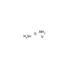 [AlH3].[SnH2].[Ti].[V]